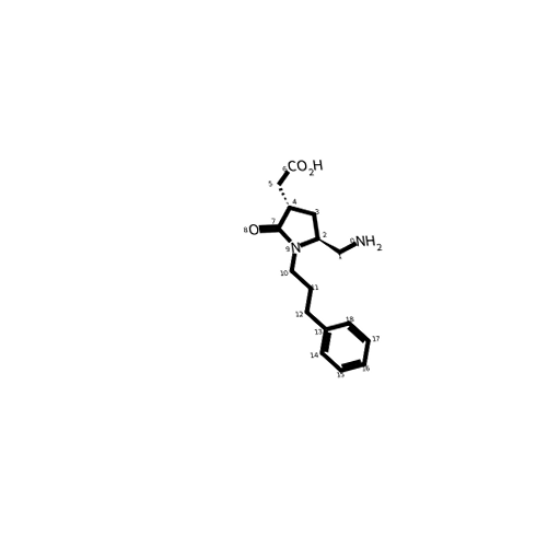 NC[C@@H]1C[C@@H](CC(=O)O)C(=O)N1CCCc1ccccc1